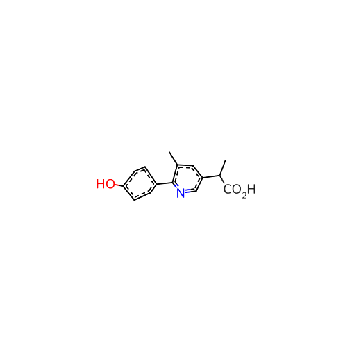 Cc1cc(C(C)C(=O)O)cnc1-c1ccc(O)cc1